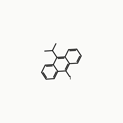 CC(C)c1c2ccccc2c(I)c2ccccc12